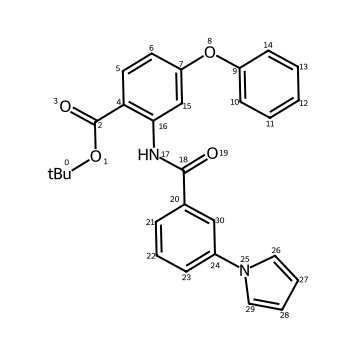 CC(C)(C)OC(=O)c1ccc(Oc2ccccc2)cc1NC(=O)c1cccc(-n2cccc2)c1